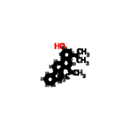 CC(C)c1cc(O)cc2c1cc(C(C)C)c1c2ccc2c3ccccc3ccc21